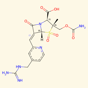 C[C@]1(COC(N)=O)[C@H](C(=O)O)N2C(=O)/C(=C/c3cc(CNC(=N)N)ccn3)[C@H]2S1(=O)=O